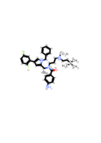 CC(C)(C)[C@H](c1cc(-c2cc(F)ccc2F)cn1Cc1ccccc1)N(CCCN(CC[Si](C)(C)C)C(=O)O)C(=O)c1ccc(N)cc1